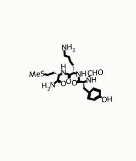 CSCC[C@H](NC(=O)[C@H](CCCCN)NC(=O)[C@H](Cc1ccc(O)cc1)NC=O)C(N)=O